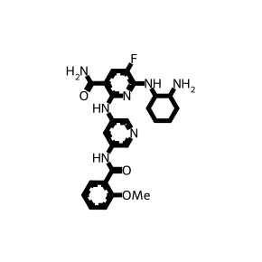 COc1ccccc1C(=O)Nc1cncc(Nc2nc(NC3CCCCC3N)c(F)cc2C(N)=O)c1